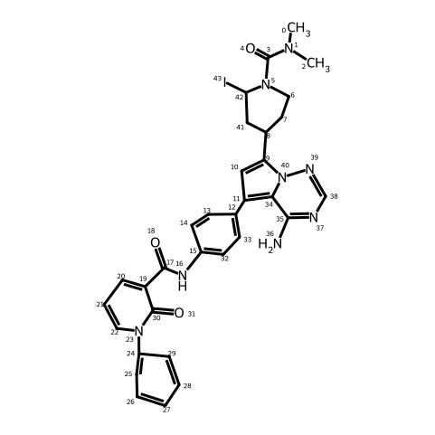 CN(C)C(=O)N1CCC(c2cc(-c3ccc(NC(=O)c4cccn(-c5ccccc5)c4=O)cc3)c3c(N)ncnn23)CC1I